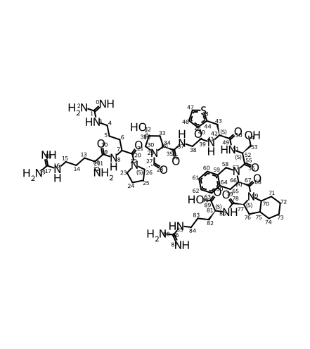 N=C(N)NCCCC(NC(=O)[C@H](N)CCCNC(=N)N)C(=O)N1CCC[C@H]1C(=O)N1C[C@H](O)C[C@H]1C(=O)NCC(=O)N[C@@H](Cc1cccs1)C(=O)N[C@@H](CO)C(=O)N1Cc2ccccc2C[C@@H]1C(=O)N1C2CCCCC2C[C@H]1C(=O)N[C@@H](CCCNC(=N)N)C(=O)O